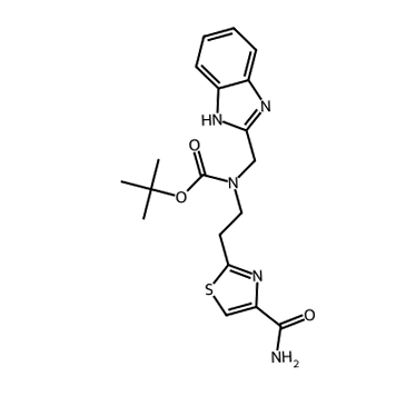 CC(C)(C)OC(=O)N(CCc1nc(C(N)=O)cs1)Cc1nc2ccccc2[nH]1